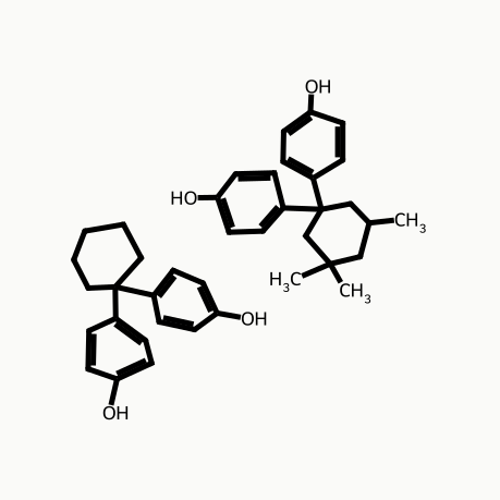 CC1CC(C)(C)CC(c2ccc(O)cc2)(c2ccc(O)cc2)C1.Oc1ccc(C2(c3ccc(O)cc3)CCCCC2)cc1